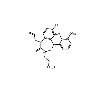 C=CCN1C(=O)[C@@H](CCC(=O)O)S[C@H](c2cccc(OC)c2OC)c2cc(Cl)ccc21